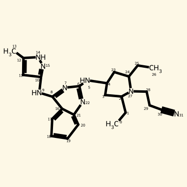 CCC1CC(Nc2nc(Nc3cc(C)[nH]n3)c3ccccc3n2)CC(CC)N1CCC#N